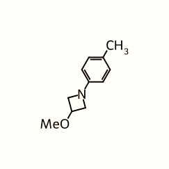 COC1CN(c2ccc(C)cc2)C1